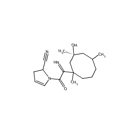 CC1CCCC(C)(C(=N)C(=O)N2C=CCC2C#N)C[C@@](C)(O)C1